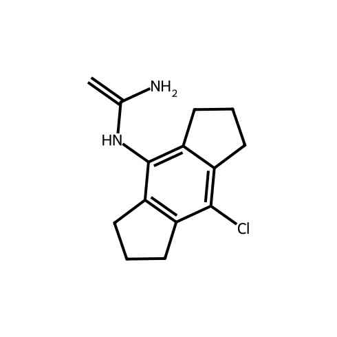 C=C(N)Nc1c2c(c(Cl)c3c1CCC3)CCC2